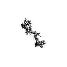 CCCN(C)C[C@@H](C[C@H](C(C)C)N1CC2(CCN(c3ncnnc3Oc3ccc(F)cc3C(=O)N(CC)C(C)C)C2)C1)OC(=O)/C=C/C(=O)O[C@H](C[C@H](C(C)C)N1CC2(CCN(c3ncnnc3Oc3ccc(F)cc3C(=O)N(CC)C(C)C)C2)C1)CN(C)CCC